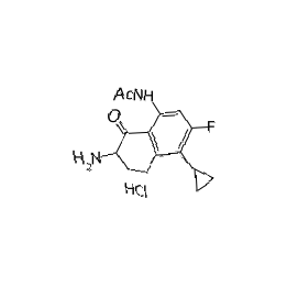 CC(=O)Nc1cc(F)c(C2CC2)c2c1C(=O)C(N)CC2.Cl